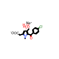 Cc1cc(CC(=O)[O-])n(C)c1C(=O)c1ccc(Cl)cc1.O.O.[Na+]